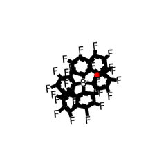 Fc1c(F)c(F)c([B-](c2c(F)c(F)c(F)c(F)c2F)(c2c(F)c(F)c(F)c3c(F)c(F)c(F)c(F)c23)c2c(F)c(F)c(F)c3c(F)c(F)c(F)c(F)c23)c(F)c1F